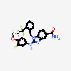 COc1ccc(Nc2nc3cc(C(N)=O)ccc3n2Cc2ccccc2C(C)(F)F)cc1F